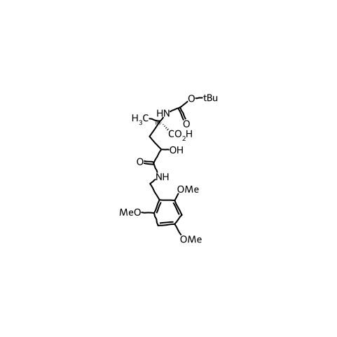 COc1cc(OC)c(CNC(=O)C(O)C[C@@](C)(NC(=O)OC(C)(C)C)C(=O)O)c(OC)c1